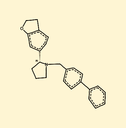 c1ccc(-c2ccc(CN3CCC[C@@H]3c3ccc4c(c3)OCC4)cc2)cc1